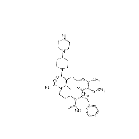 COc1c(C)cc(CC(C(=O)N2CCC(N3CCNCC3)CC2)[C@H]2CC(N3CCc4ccccc4NC3=O)CCN2C(=O)O)cc1C